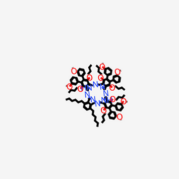 CCCCCCc1ccc(CCCCCC)c2c1-c1nc-2nc2[nH]c(nc3nc(nc4[nH]c(n1)c1c(OCCCC)c(-c5cccc(OC)c5)c(-c5cccc(OC)c5)c(OCCCC)c41)-c1c(OCCCC)c(-c4cccc(OC)c4)c(-c4cccc(OC)c4)c(OCCCC)c1-3)c1c(OCCCC)c(-c3cccc(OC)c3)c(-c3cccc(OC)c3)c(OCCCC)c21